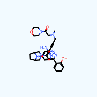 CN(CC#Cc1cc(N2C3CCC2CN(c2cc(-c4ccccc4O)nnc2N)C3)ccn1)CC(=O)N1CCOCC1